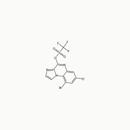 O=S(=O)(Oc1nc2cc(Cl)cc(Br)c2n2ccnc12)C(F)(F)F